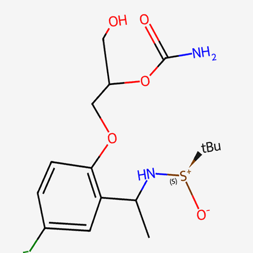 CC(N[S@+]([O-])C(C)(C)C)c1cc(F)ccc1OCC(CO)OC(N)=O